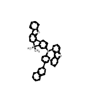 C[Si]1(C)c2cc(N(c3ccc(-c4ccc5ccccc5c4)cc3)c3cccc4sc5ccccc5c34)ccc2-c2c1ccc1c2oc2ccccc21